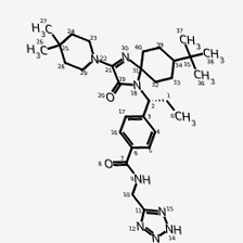 CC[C@H](c1ccc(C(=O)NCc2nn[nH]n2)cc1)N1C(=O)C(N2CCC(C)(C)CC2)=NC12CCC(C(C)(C)C)CC2